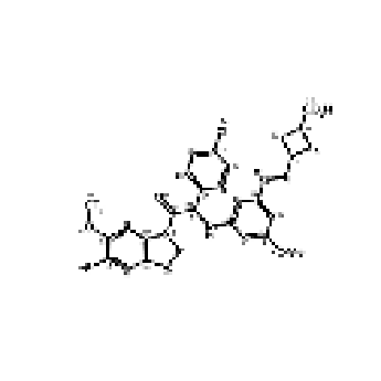 COc1cc(N[C@@H](C(=O)N2CCc3cc(F)c(OC(F)(F)F)cc32)c2ccc(Cl)cc2)cc(OCC2CC(C(=O)O)C2)c1